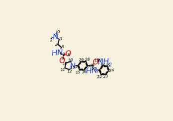 CN(C)CCCNC(=O)O[C@H]1CCN(c2ccc(C(=O)Nc3ccccc3N)cc2)C1